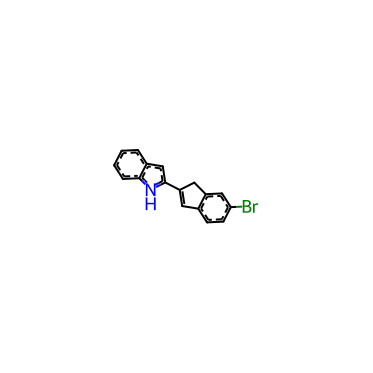 Brc1ccc2c(c1)CC(c1cc3ccccc3[nH]1)=C2